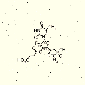 Cc1cn([C@@H]2O[C@H]([C@H](C)CP(C)(C)=O)[C@@H](OC(=O)CCC(=O)O)[C@H]2F)c(=O)[nH]c1=O